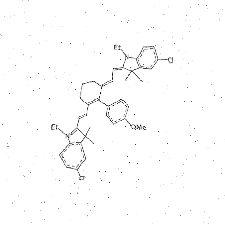 CCN1/C(=C/C=C2\CCCC(/C=C/C3=[N+](CC)c4ccc(Cl)cc4C3(C)C)=C2c2ccc(OC)cc2)C(C)(C)c2cc(Cl)ccc21